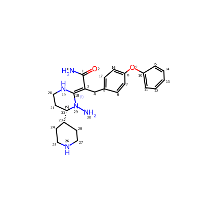 NC(=O)/C(Cc1ccc(Oc2ccccc2)cc1)=C1\NCC[C@@H](C2CCNCC2)N1N